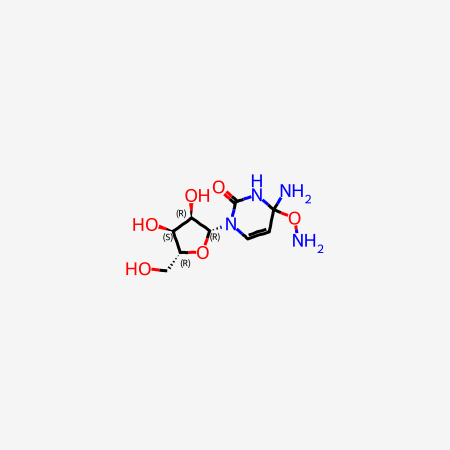 NOC1(N)C=CN([C@@H]2O[C@H](CO)[C@@H](O)[C@H]2O)C(=O)N1